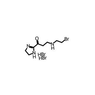 Br.Br.O=C(CCNCCBr)C1=NCCN1